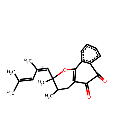 CC(C)=C/C(C)=C\C1(C)OC2=C(CC1C)C(=O)C(=O)c1ccccc12